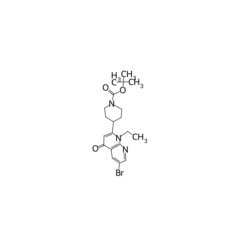 CCn1c(C2CCN(C(=O)OC(C)(C)C)CC2)cc(=O)c2cc(Br)cnc21